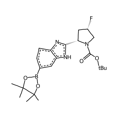 CC(C)(C)OC(=O)N1C[C@@H](F)C[C@H]1c1nc2ccc(B3OC(C)(C)C(C)(C)O3)cc2[nH]1